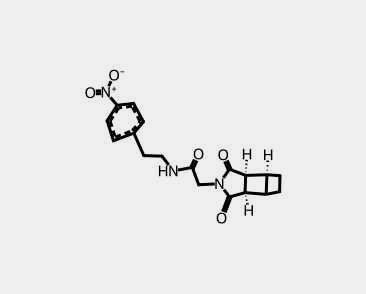 O=C(CN1C(=O)[C@@H]2[C@H](C1=O)C1CC[C@@H]12)NCCc1ccc([N+](=O)[O-])cc1